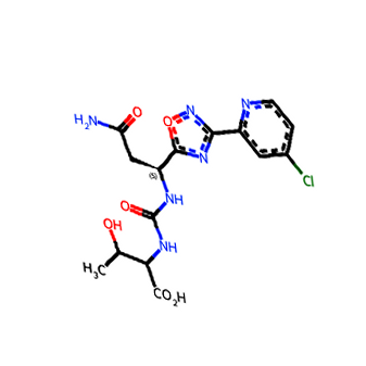 CC(O)C(NC(=O)N[C@@H](CC(N)=O)c1nc(-c2cc(Cl)ccn2)no1)C(=O)O